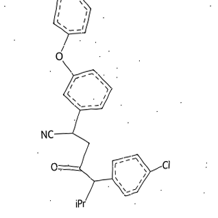 CC(C)C(C(=O)CC(C#N)c1cccc(Oc2ccccc2)c1)c1ccc(Cl)cc1